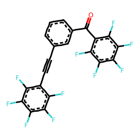 O=C(c1cccc(C#Cc2c(F)c(F)c(F)c(F)c2F)c1)c1c(F)c(F)c(F)c(F)c1F